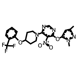 Cc1cc(Oc2ncnc(N3CCC(Oc4ccccc4C(F)(F)F)CC3)c2[N+](=O)[O-])n(C)n1